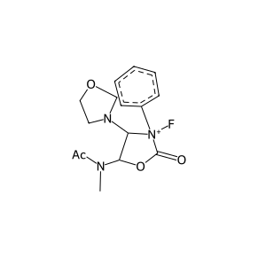 CC(=O)N(C)C1OC(=O)[N+](F)(c2ccccc2)C1N1CCOC1